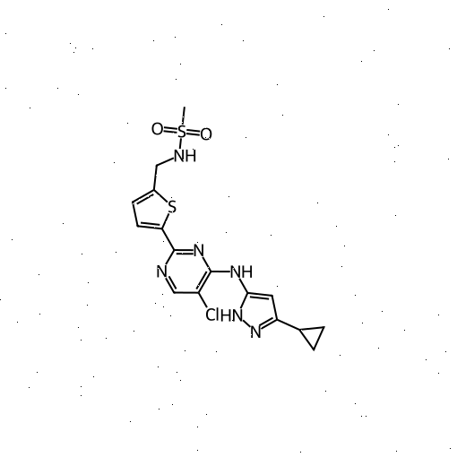 CS(=O)(=O)NCc1ccc(-c2ncc(Cl)c(Nc3cc(C4CC4)n[nH]3)n2)s1